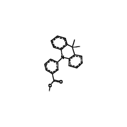 COC(=O)c1cccc(N2c3ccccc3C(C)(C)c3ccccc32)c1